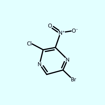 O=[N+]([O-])c1nc(Br)cnc1Cl